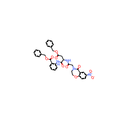 O=C(CN1CCOc2ccc([N+](=O)[O-])cc2C1=O)NC(CC(=O)OCc1ccccc1)C(=O)Nc1ccccc1C(=O)OCc1ccccc1